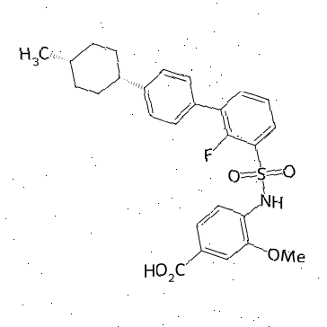 COc1cc(C(=O)O)ccc1NS(=O)(=O)c1cccc(-c2ccc([C@H]3CC[C@@H](C)CC3)cc2)c1F